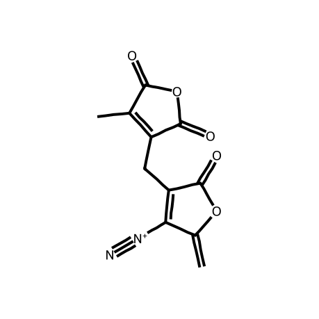 C=C1OC(=O)C(CC2=C(C)C(=O)OC2=O)=C1[N+]#N